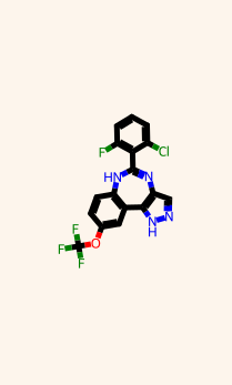 Fc1cccc(Cl)c1C1=Nc2cn[nH]c2-c2cc(OC(F)(F)F)ccc2N1